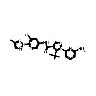 Cc1cnn(-c2ncc(NC(=O)c3cnn(-c4cccc(N)n4)c3C(F)(F)F)cc2Cl)n1